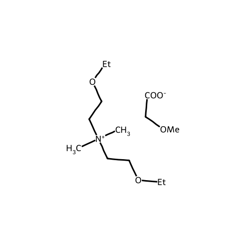 CCOCC[N+](C)(C)CCOCC.COCC(=O)[O-]